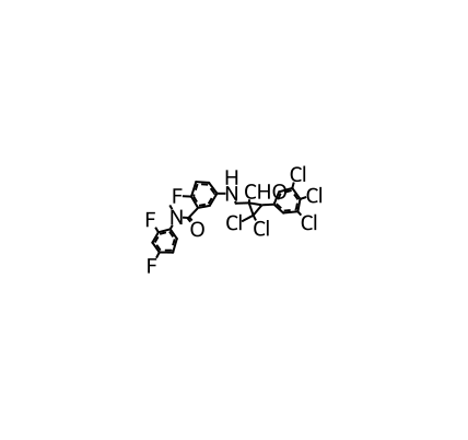 CN(C(=O)c1cc(NCC2(C=O)C(c3cc(Cl)c(Cl)c(Cl)c3)C2(Cl)Cl)ccc1F)c1ccc(F)cc1F